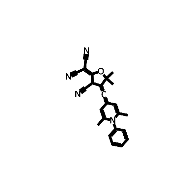 CC1=CC(=C=C2C(C#N)C(=C(C#N)C#N)OC2(C)C)C=C(C)N1c1ccccc1